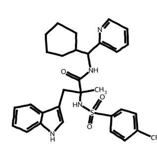 CC(Cc1c[nH]c2ccccc12)(NS(=O)(=O)c1ccc(C(F)(F)F)cc1)C(=O)NC(c1ccccn1)C1CCCCC1